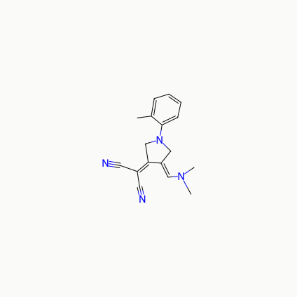 Cc1ccccc1N1CC(=CN(C)C)C(=C(C#N)C#N)C1